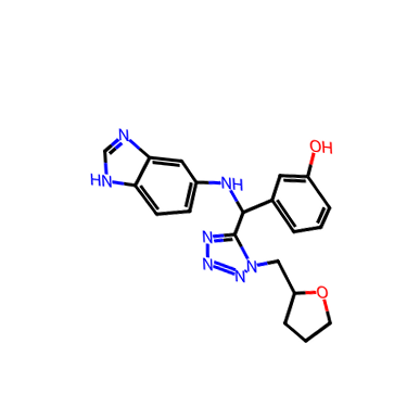 Oc1cccc(C(Nc2ccc3[nH]cnc3c2)c2nnnn2CC2CCCO2)c1